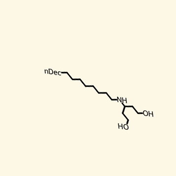 CCCCCCCCCCCCCCCCCCNC(CCO)CCO